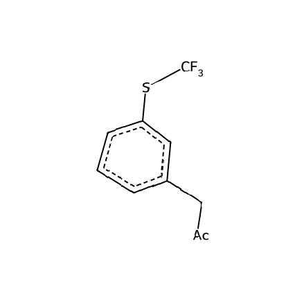 CC(=O)Cc1cccc(SC(F)(F)F)c1